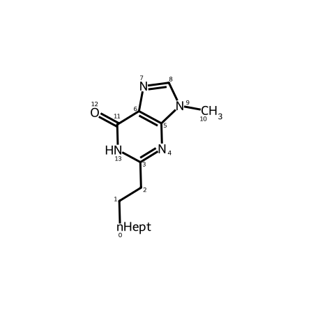 CCCCCCCCCc1nc2c(ncn2C)c(=O)[nH]1